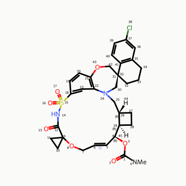 CNC(=O)O[C@H]1/C=C/COC2(CC2)C(=O)NS(=O)(=O)c2ccc3c(c2)N(C[C@@H]2CC[C@H]21)C[C@@]1(CCCc2cc(Cl)ccc21)CO3